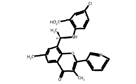 Cc1cc([C@@H](C)Nc2ccc(Cl)cc2C(=O)O)c2oc(-c3cccnc3)c(C)c(=O)c2c1